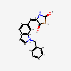 O=C1NC(=Cc2ccc3ccn(Cc4ccccc4)c3c2)C(=O)S1